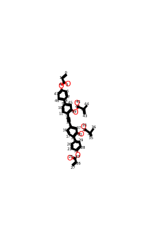 C=CC(=O)Oc1ccc(-c2ccc(C#Cc3ccc(-c4ccc(OC(=O)C=C)cc4)c(OC(=O)C(=C)C)c3)c(OC(=O)C(=C)C)c2)cc1